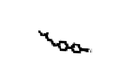 CC/C(C)=C/C=C/C1CCC(c2ccc(C#N)cc2)CC1